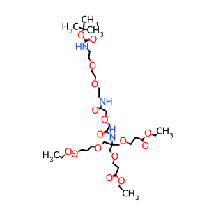 CCOOCCCOCC(COCCC(=O)OCC)(COCCC(=O)OCC)NC(=O)COCC(=O)NCCOCCOCCNC(=O)OC(C)(C)C